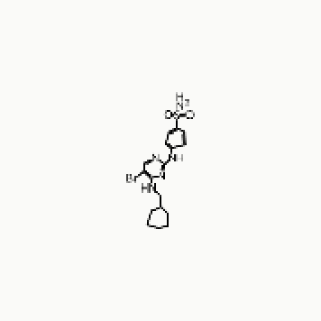 NS(=O)(=O)c1ccc(Nc2ncc(Br)c(NCC3CCCCC3)n2)cc1